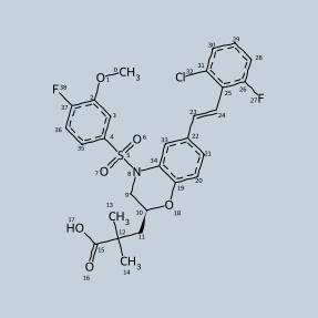 COc1cc(S(=O)(=O)N2C[C@H](CC(C)(C)C(=O)O)Oc3ccc(/C=C/c4c(F)cccc4Cl)cc32)ccc1F